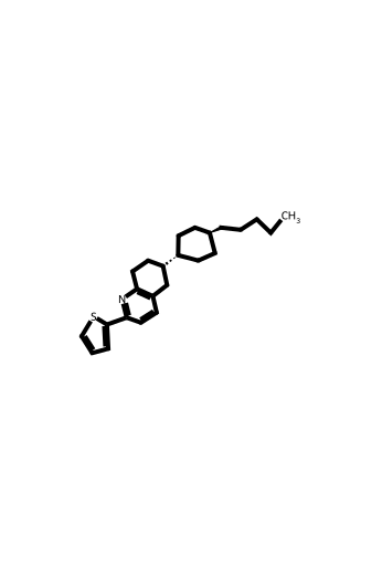 CCCCC[C@H]1CC[C@H](C2CCc3nc(-c4cccs4)ccc3C2)CC1